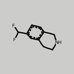 FC(F)c1ccc2c(c1)CCNC2